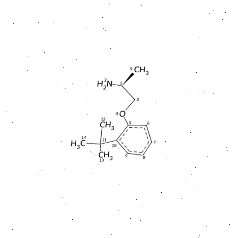 C[C@H](N)COc1ccccc1C(C)(C)C